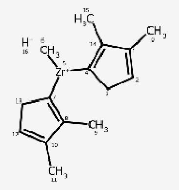 CC1=CC[C]([Zr+]([CH3])[C]2=C(C)C(C)=CC2)=C1C.[H-]